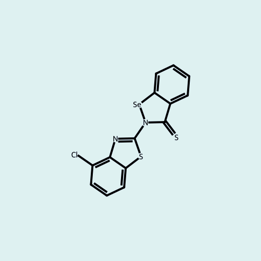 S=c1c2ccccc2[se]n1-c1nc2c(Cl)cccc2s1